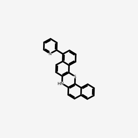 c1ccc(-c2cccc3c4c(ccc23)Nc2ccc3ccccc3c2S4)nc1